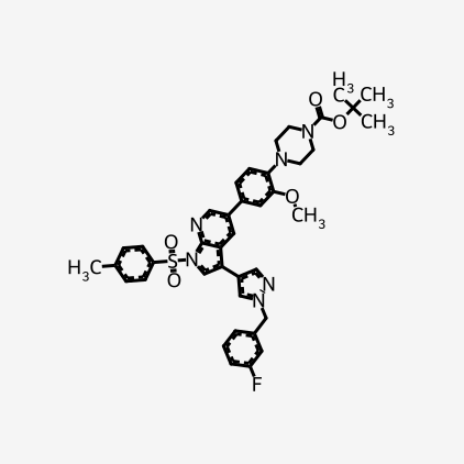 COc1cc(-c2cnc3c(c2)c(-c2cnn(Cc4cccc(F)c4)c2)cn3S(=O)(=O)c2ccc(C)cc2)ccc1N1CCN(C(=O)OC(C)(C)C)CC1